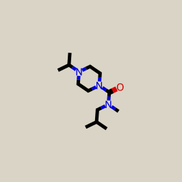 CC(C)CN(C)C(=O)N1CCN(C(C)C)CC1